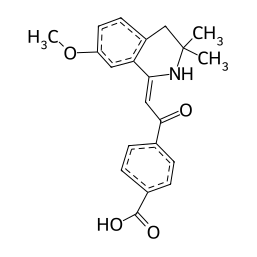 COc1ccc2c(c1)C(=CC(=O)c1ccc(C(=O)O)cc1)NC(C)(C)C2